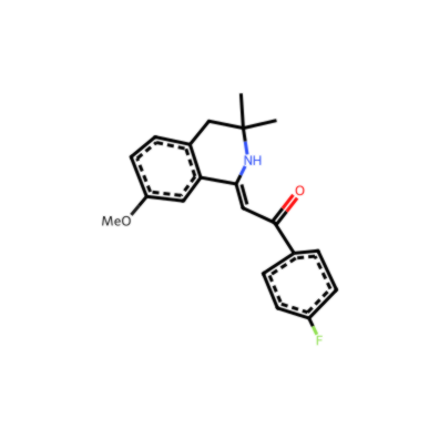 COc1ccc2c(c1)C(=CC(=O)c1ccc(F)cc1)NC(C)(C)C2